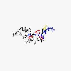 COC[C@H]1[C@@H](NC(=O)/C(=N\OC(C)(C)C(=O)O)c2csc(N)n2)C(=O)N1S(=O)(=O)O